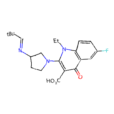 CCn1c(N2CCC(N=CC(C)(C)C)C2)c(C(=O)O)c(=O)c2cc(F)ccc21